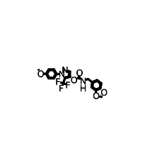 COc1ccc(-n2ncc(OC(=O)NCc3ccc4c(c3)OCO4)c2C(F)(F)F)cc1